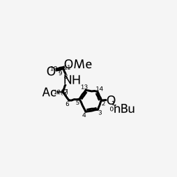 CCCCOc1ccc(C[C@H](NC(=O)OC)C(C)=O)cc1